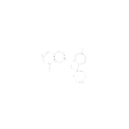 CN1CN=Cc2ccc(OCC3(c4ccc(Cl)cc4)CCNCC3)cc21